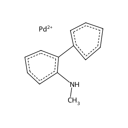 CNc1ccccc1-c1ccccc1.[Pd+2]